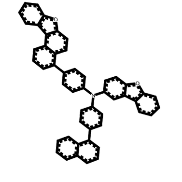 c1ccc2c(-c3ccc(N(c4ccc(-c5cccc6c5ccc5oc7ccccc7c56)cc4)c4ccc5oc6ccccc6c5c4)cc3)cccc2c1